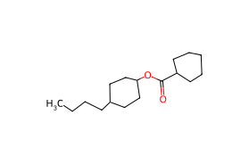 CCCCC1CCC(OC(=O)C2CCCCC2)CC1